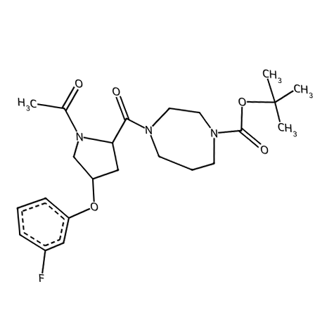 CC(=O)N1CC(Oc2cccc(F)c2)CC1C(=O)N1CCCN(C(=O)OC(C)(C)C)CC1